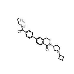 CCNC(=O)c1ccc(-c2ccc3c(c2)CCN([C@@H]2CCN(C4CCC4)C2)C3=O)cc1